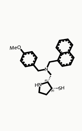 COc1ccc(CN(Cc2cccc3ccccc23)C[C@H]2NCC[C@H]2S)cc1